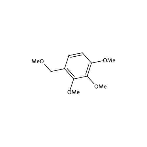 COCc1ccc(OC)c(OC)c1OC